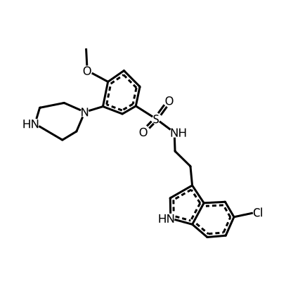 COc1ccc(S(=O)(=O)NCCc2c[nH]c3ccc(Cl)cc23)cc1N1CCNCC1